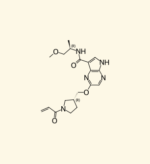 C=CC(=O)N1CC[C@@H](COc2cnc3[nH]cc(C(=O)N[C@H](C)COC)c3n2)C1